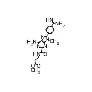 COC(=O)CCNC(=O)c1nc(N)c2nc(-c3ccc(C(=N)N)cc3)n(C)c2n1